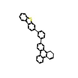 C1=Cc2c(c3cc(-c4cccc(-c5ccc6c(c5)sc5ccccc56)c4)ccc3c3ccccc23)CC1